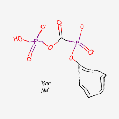 O=C(OP(=O)([O-])O)P(=O)([O-])Oc1ccccc1.[Na+].[Na+]